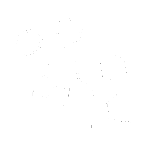 CNC(C)C(=O)NC(C(=O)N1CCC2NCC(Oc3ccccc3-c3ccccc3)C21)C1CCCCC1